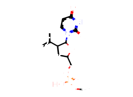 C=C(C)C1CC(COP(=O)(O)OC(C)C)OC1n1ccc(=O)[nH]c1=O